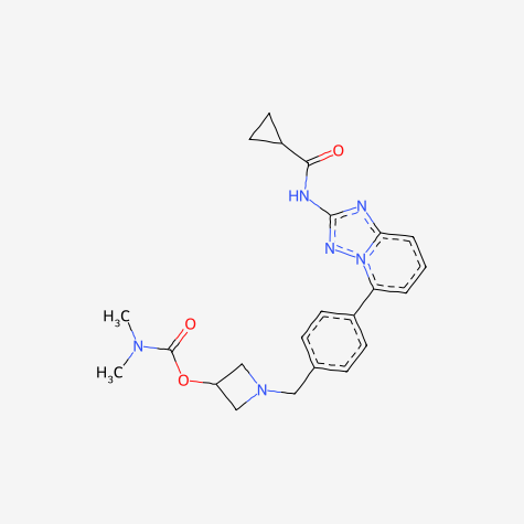 CN(C)C(=O)OC1CN(Cc2ccc(-c3cccc4nc(NC(=O)C5CC5)nn34)cc2)C1